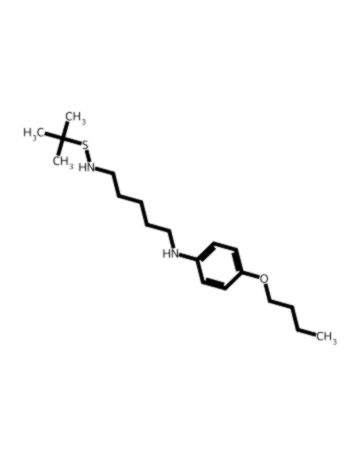 CCCCOc1ccc(NCCCCCNSC(C)(C)C)cc1